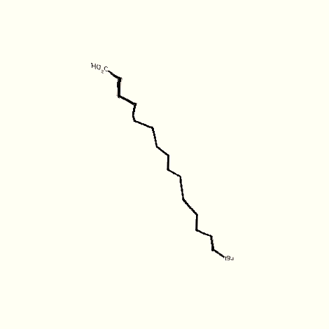 CC(C)(C)CCCCCCCCCCCCCCC(=O)O